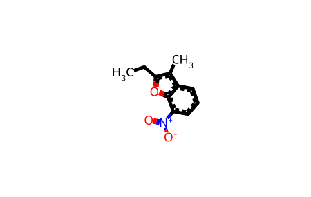 CCc1oc2c([N+](=O)[O-])cccc2c1C